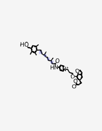 CC(/C=C/c1c(C)cc(CO)c(C)c1C)=C\C=C\C(C)=C\C(=O)Nc1cc[n+](CCCOc2c3occc3cc3ccc(=O)oc23)cc1